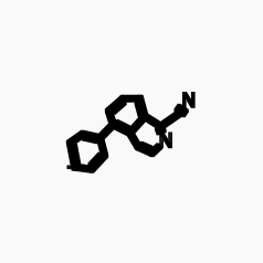 N#Cc1nccc2c(-c3cc[c]cc3)cccc12